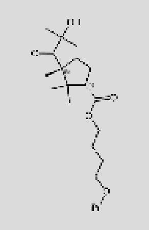 CC(C)OCCCCOC(=O)[C@H]1CC[C@@](C)(C(=O)C(C)(C)O)C1(C)C